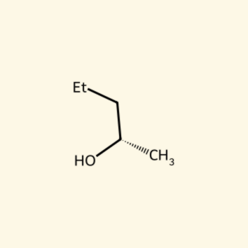 CCC[C@H](C)O